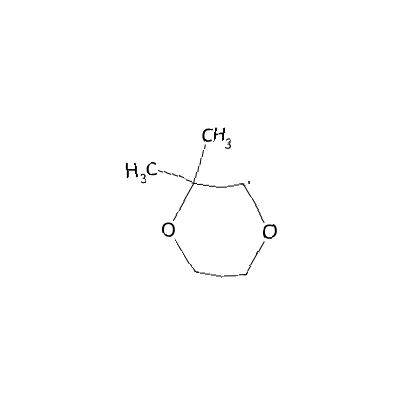 CC1(C)[CH]OCCO1